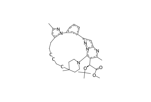 COC(=O)[C@@H](OC(C)(C)C)c1c(C)nc2cc3nn2c1N1CCC(C)(CCCCCCc2cc(C)nn2-c2cccc-3c2)CC1